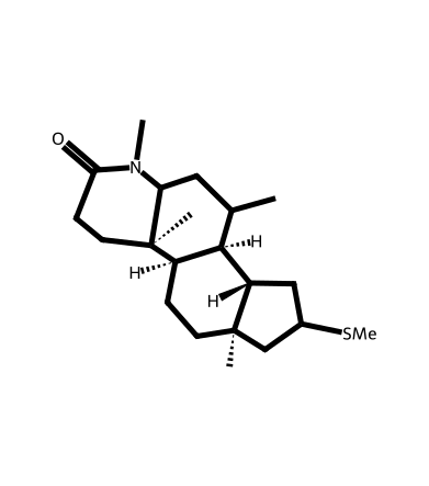 CSC1C[C@H]2[C@@H]3C(C)CC4N(C)C(=O)CC[C@]4(C)[C@@H]3CC[C@]2(C)C1